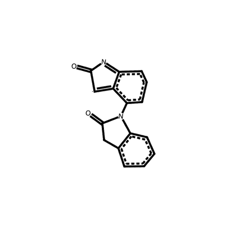 O=C1[C]=c2c(N3C(=O)Cc4ccccc43)cccc2=N1